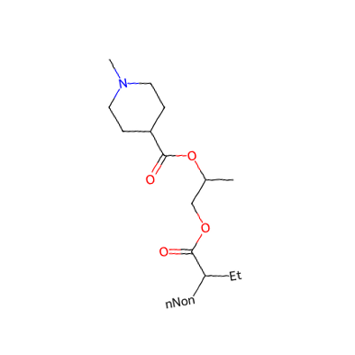 CCCCCCCCCC(CC)C(=O)OCC(C)OC(=O)C1CCN(C)CC1